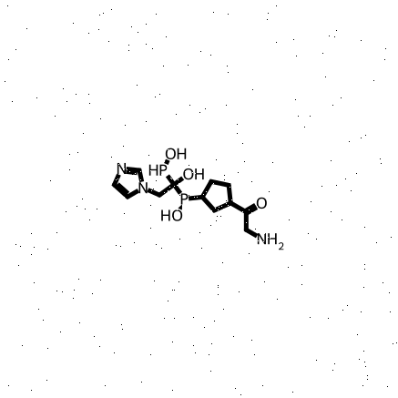 NCC(=O)C1CCC([P@@](O)C(O)(Cn2ccnc2)PO)C1